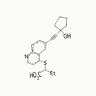 CCC(Sc1ccnc2ccc(C#CC3(O)CCCC3)cc12)C(=O)O